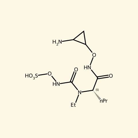 CCC[C@@H](C(=O)NOC1CC1N)N(CC)C(=O)NOS(=O)(=O)O